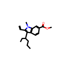 C=Cc1c(C(CC)CCC)c2ccc(C(=O)OC)cc2n1C